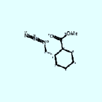 COC(=O)C1CCCC[C@@H]1CN=[N+]=[N-]